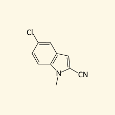 Cn1c(C#N)cc2cc(Cl)ccc21